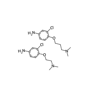 CN(C)CCCOc1ccc(N)cc1Cl.CN(C)CCOc1ccc(N)cc1Cl